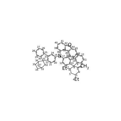 C=C1CC(CC)CC(CC)C12c1ccccc1-c1cc(N(c3ccc4c(c3)-c3ccccc3C43CC4CCC3C4)c3cccc4oc5ccccc5c34)ccc12